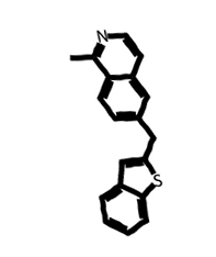 Cc1nccc2cc(Cc3cc4ccccc4s3)ccc12